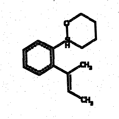 C/C=C(\C)c1ccccc1[SiH]1CCCCO1